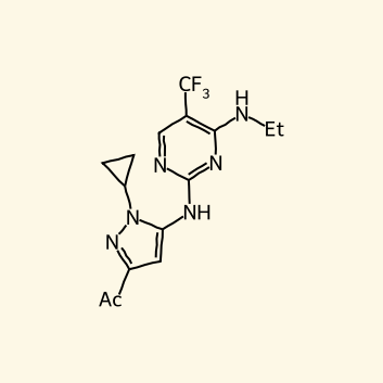 CCNc1nc(Nc2cc(C(C)=O)nn2C2CC2)ncc1C(F)(F)F